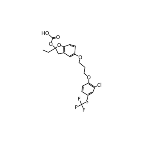 CCC1(OC(=O)O)Cc2cc(OCCCOc3ccc(SC(F)(F)F)cc3Cl)ccc2O1